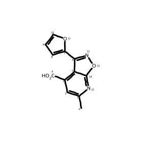 Cc1cc(C(=O)O)c2c(-c3ccco3)noc2n1